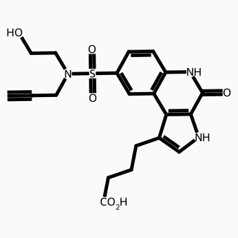 C#CCN(CCO)S(=O)(=O)c1ccc2[nH]c(=O)c3[nH]cc(CCCC(=O)O)c3c2c1